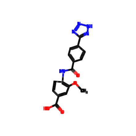 COc1cc(C(=O)O)ccc1NC(=O)c1ccc(-c2nn[nH]n2)cc1